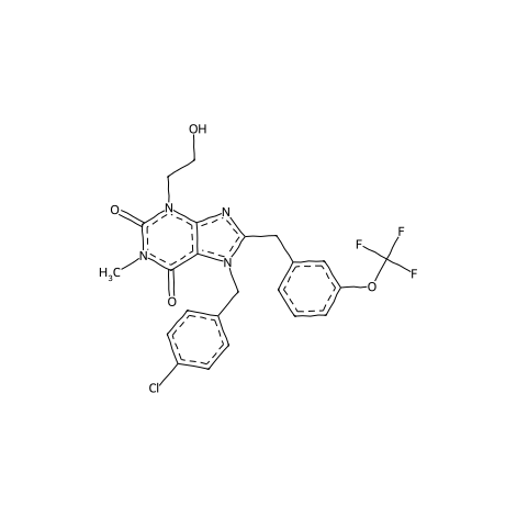 Cn1c(=O)c2c(nc(Cc3cccc(OC(F)(F)F)c3)n2Cc2ccc(Cl)cc2)n(CCO)c1=O